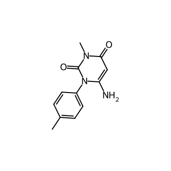 Cc1ccc(-n2c(N)cc(=O)n(C)c2=O)cc1